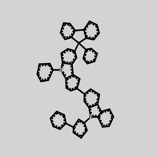 c1ccc(-c2cccc(-n3c4ccccc4c4ccc(-c5ccc6c(c5)c5cc(C7(c8ccccc8)c8ccccc8-c8ccccc87)ccc5n6-c5ccccc5)cc43)c2)cc1